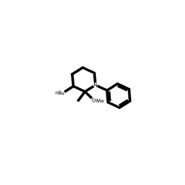 CCCCC1CCCN(c2ccccc2)C1(C)OC